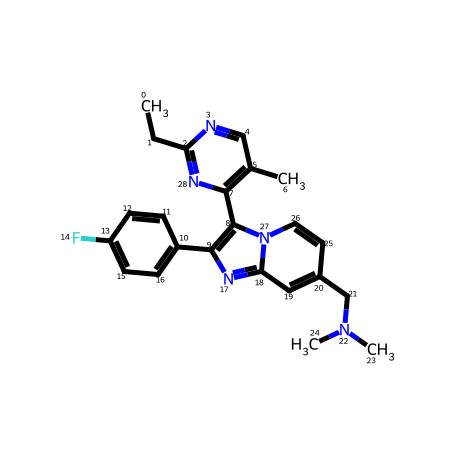 CCc1ncc(C)c(-c2c(-c3ccc(F)cc3)nc3cc(CN(C)C)ccn23)n1